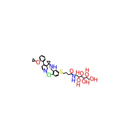 O=C(CCCSc1ccc(Cl)c(CNC2(c3cnccc3-c3ccccc3OC3CC3)CC2)c1)NCC(O)C(O)C(O)C(O)CO